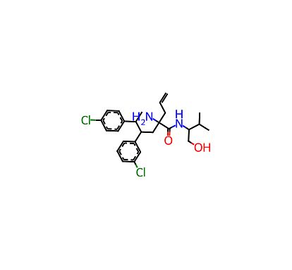 C=CCC(N)(CC(c1cccc(Cl)c1)C(C)c1ccc(Cl)cc1)C(=O)NC(CO)C(C)C